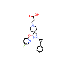 O=C(O)CCN1CCC(CN[C@@H]2C[C@H]2c2ccccc2)(COc2ccc(F)cn2)CC1